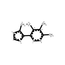 Cc1ncsc1-c1nnc(C)c(C)c1C